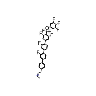 C/C=C\Cc1ccc(-c2ccc(-c3ccc(-c4cc(F)c(C(F)(F)Oc5cc(F)c(F)c(F)c5)c(F)c4)c(F)c3)c(F)c2)cc1